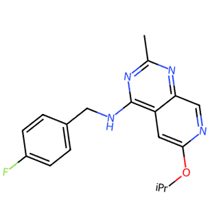 Cc1nc(NCc2ccc(F)cc2)c2cc(OC(C)C)ncc2n1